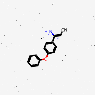 N#C/C=C(\N)c1ccc(Oc2ccccc2)cc1